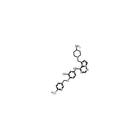 Cc1ccc(COc2ccc(Nc3ncnn4ccc(CN5CCC(N)CC5)c34)cc2Cl)cn1